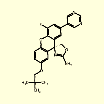 CC(C)(C)COc1ccc2c(c1)[C@@]1(COC(N)=N1)c1cc(-c3cncnc3)cc(F)c1O2